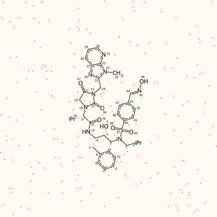 CC(C)CN(C[C@@H](O)[C@H](Cc1ccccc1)NC(=O)[C@H](C(C)C)N1CC(=O)N(Cc2nc3cccnc3n2C)C1=O)S(=O)(=O)c1ccc(C=NO)cc1